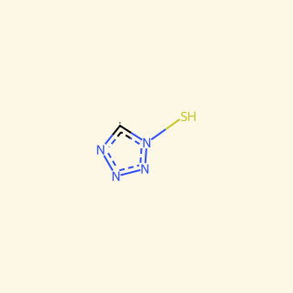 Sn1[c]nnn1